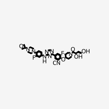 N#Cc1cc(-c2ncnc(Nc3ccc(N4CCN(C5COC5)CC4)c(F)c3)n2)ccc1O[C@H]1CCN(C(=O)[C@@H](O)/C=C/O)C[C@H]1F